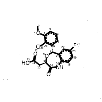 COc1cccc([C@H]2O[C@H](CC(=O)O)C(=O)Nc3ccc(F)cc32)c1Cl